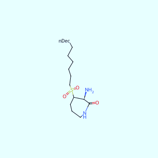 CCCCCCCCCCCCCCCCS(=O)(=O)C1CCCNC(=O)[C@@H]1N